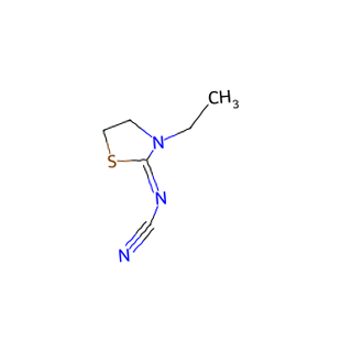 CCN1CCS/C1=N\C#N